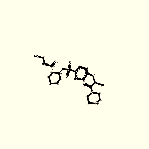 CC(C)(C)C(Sc1ccc(S(=O)(=O)C[C@H]2CCCC[C@@H]2C(=O)NCC#N)cc1)C(=O)N1CCNCC1